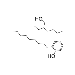 CCCCC(CC)CO.CCCCCCCCCc1ccccc1O